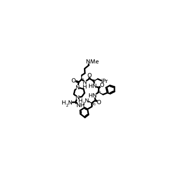 CNCCCC[C@@H](NC(=O)[C@@H](CC(C)C)NC(=O)[C@@H](Cc1ccccc1)NC(=O)[C@H](N)Cc1ccccc1)C(=O)N1CCCN(C(=N)N)CC1